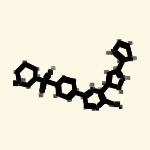 Nc1ncc(-c2ccc(S(=O)(=O)C3CCCNC3)cc2)nc1-c1cc(-c2nccs2)no1